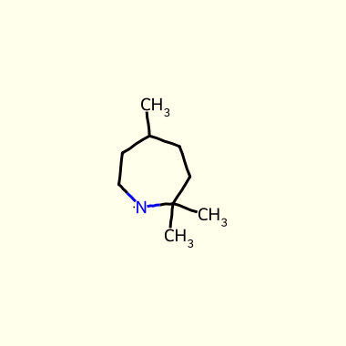 CC1CC[N]C(C)(C)CC1